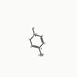 CN1C=CC(Br)=CC1